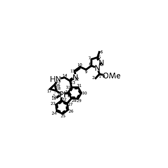 COC(C)N1N=C(C)CC1C/C=C\N=C1/CNC2C[C@]2(C)[PH]2(C)c3ccccc3-c3cccc1c32